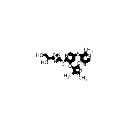 Cc1ncccc1Sc1cnc(Nc2nc([C@H](O)CO)ns2)c(Oc2c(C)nn(C)c2C)c1